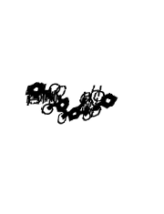 O=C(c1ccc2c(c1)C(=O)N(NC(=O)c1ccccc1O)C2=O)c1ccc2c(c1)C(=O)N(NC(=O)c1ccccc1O)C2=O